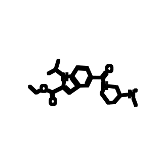 CCOC(=O)c1cc2cc(C(=O)N3CCCC(N(C)C)C3)ccc2n1C(C)C